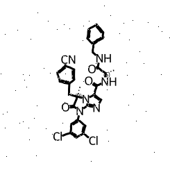 C[C@H](NC(=O)c1cnc2n1[C@](C)(Cc1ccc(C#N)cc1)C(=O)N2c1cc(Cl)cc(Cl)c1)C(=O)NCc1ccccc1